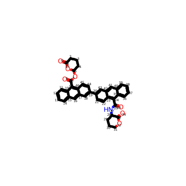 O=C1CCCC(OC(=O)c2c3ccccc3cc3cc(-c4ccc5c(C(=O)NC6CCCOC6=O)c6ccccc6cc5c4)ccc23)O1